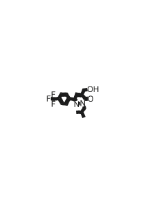 CC(C)Cn1nc(-c2ccc(C(F)(F)F)cc2)cc(CO)c1=O